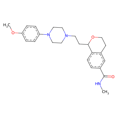 CNC(=O)c1ccc2c(c1)CCOC2CCN1CCN(c2ccc(OC)cc2)CC1